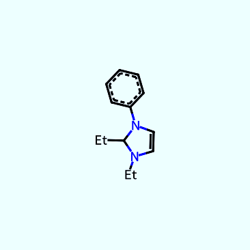 CCC1N(CC)C=CN1c1ccccc1